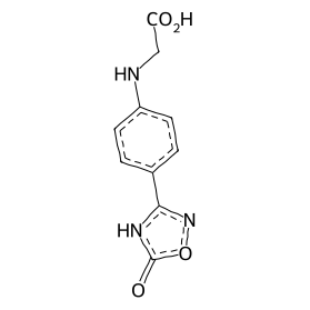 O=C(O)CNc1ccc(-c2noc(=O)[nH]2)cc1